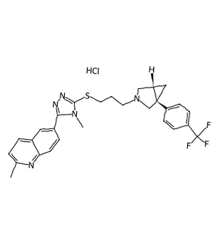 Cc1ccc2cc(-c3nnc(SCCCN4C[C@@H]5C[C@]5(c5ccc(C(F)(F)F)cc5)C4)n3C)ccc2n1.Cl